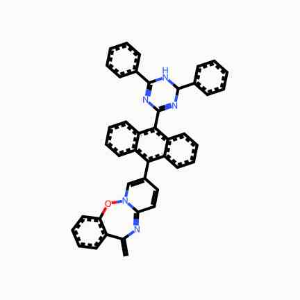 C=C1N=C2C=CC(c3c4ccccc4c(C4=NC(c5ccccc5)NC(c5ccccc5)=N4)c4ccccc34)=CN2Oc2ccccc21